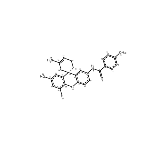 COc1cnc(C(=O)Nc2ccc3c(c2)[C@@]2(CCN=C(N)S2)c2cc(O)cc(F)c2O3)cn1